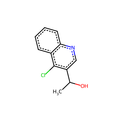 CC(O)c1cnc2ccccc2c1Cl